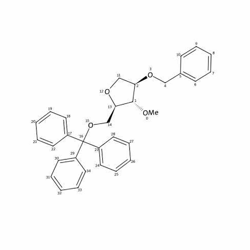 CO[C@H]1[C@H](OCc2ccccc2)CO[C@@H]1COC(c1ccccc1)(c1ccccc1)c1ccccc1